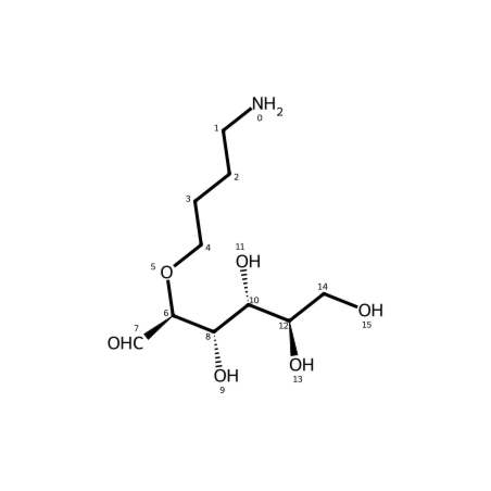 NCCCCO[C@H](C=O)[C@@H](O)[C@H](O)[C@H](O)CO